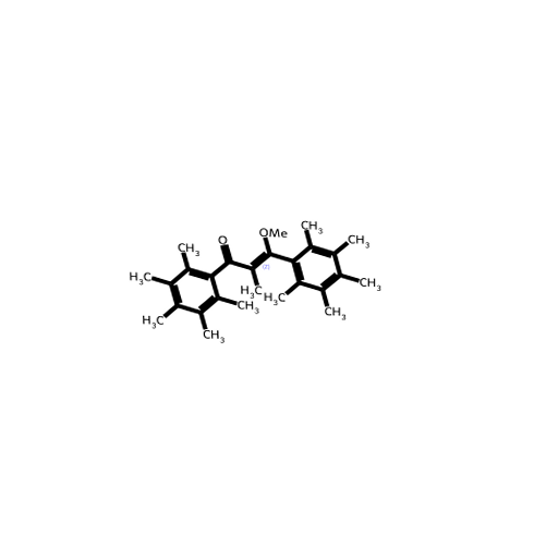 CO/C(=C(/C)C(=O)c1c(C)c(C)c(C)c(C)c1C)c1c(C)c(C)c(C)c(C)c1C